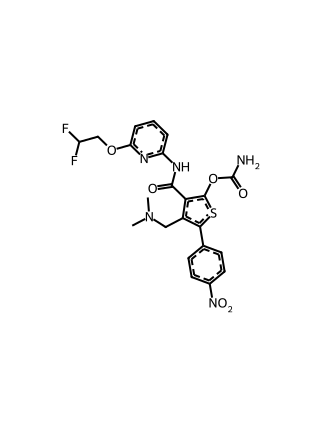 CN(C)Cc1c(-c2ccc([N+](=O)[O-])cc2)sc(OC(N)=O)c1C(=O)Nc1cccc(OCC(F)F)n1